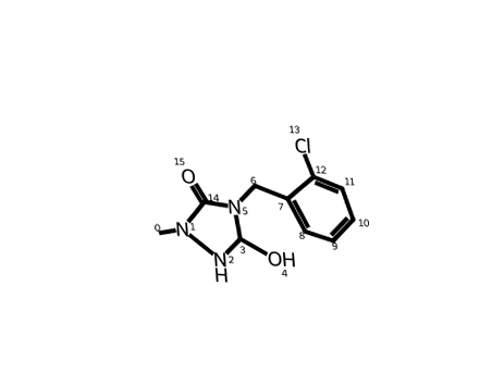 CN1NC(O)N(Cc2ccccc2Cl)C1=O